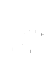 CCN.Cl.O=C(O)CO